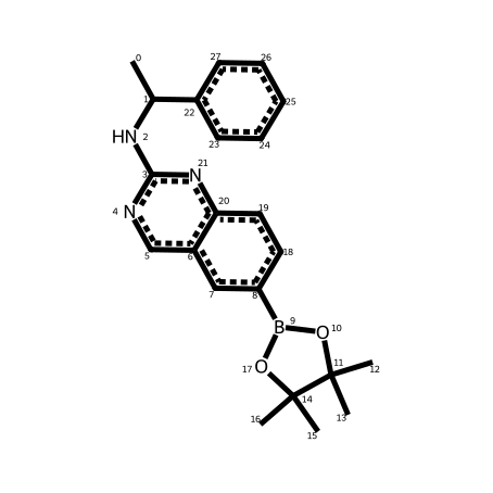 CC(Nc1ncc2cc(B3OC(C)(C)C(C)(C)O3)ccc2n1)c1ccccc1